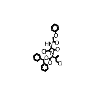 C=C(CCl)C(C(=O)OC(c1ccccc1)c1ccccc1)N1C(=O)C(NC(=O)COc2ccccc2)C1Cl